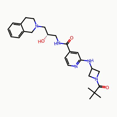 CC(C)(C)C(=O)N1CC(Nc2cc(C(=O)NC[C@H](O)CN3CCc4ccccc4C3)ccn2)C1